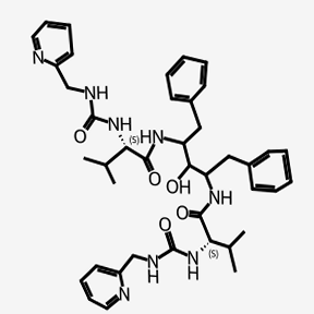 CC(C)[C@H](NC(=O)NCc1ccccn1)C(=O)NC(Cc1ccccc1)C(O)C(Cc1ccccc1)NC(=O)[C@@H](NC(=O)NCc1ccccn1)C(C)C